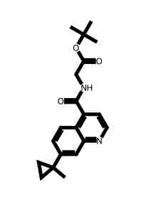 CC(C)(C)OC(=O)CNC(=O)c1ccnc2cc(C3(C)CC3)ccc12